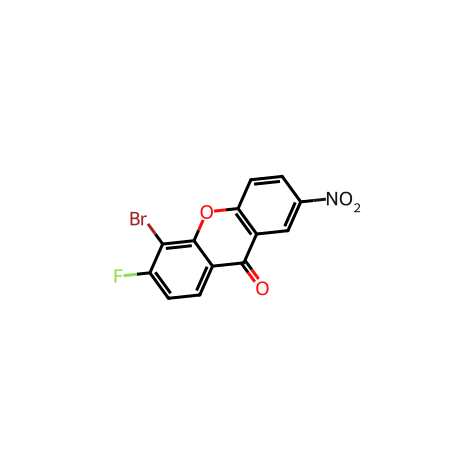 O=c1c2cc([N+](=O)[O-])ccc2oc2c(Br)c(F)ccc12